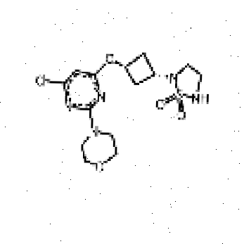 O=S1(=O)NCCN1[C@H]1C[C@H](Oc2cc(Cl)nc(N3CCOCC3)n2)C1